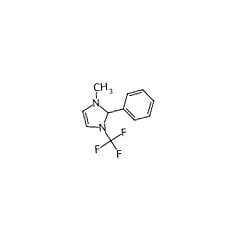 CN1C=CN(C(F)(F)F)C1c1ccccc1